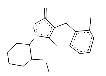 COC1CCCCC1n1oc(=O)c(Cc2ccccc2N)c1C